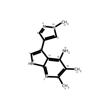 Cc1nc2[nH]cc(-c3cnn(C)c3)c2c(N)c1C